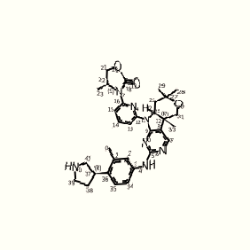 Cc1cc(Nc2ncc3c(n2)N(c2cccc(N4C(=O)OC[C@@H]4C)n2)[C@@H]2CC(C)(C)OC[C@]32C)ccc1[C@H]1CCNC1